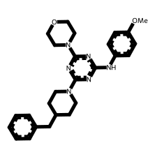 COc1ccc(Nc2nc(N3CCOCC3)nc(N3CCC(Cc4ccccc4)CC3)n2)cc1